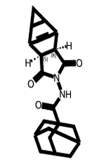 O=C1[C@@H]2C3C=CC(C4CC43)[C@@H]2C(=O)N1NC(=O)C12CC3CC(CC(C3)C1)C2